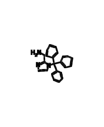 NCc1nccn1C(c1ccccc1)(c1ccccc1)c1ccccc1